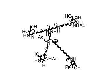 CC(=O)NC1C(OCCOCCNC(=O)CCC(NC(=O)CCC(NCC(=O)CCCCCCCCCCC(=O)N[C@@H]2C[C@H](CO)[C@@H](OC(C)C)C2)C(=O)NCCOCCOC2OC(CO)C(O)C(O)C2NC(C)=O)C(=O)NCCOCCOC2OC(CO)C(O)C(O)C2NC(C)=O)OC(CO)C(O)C1O